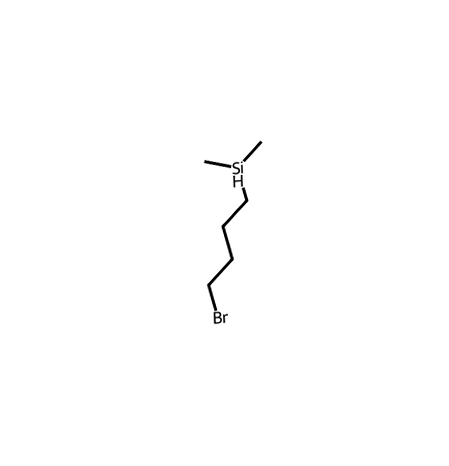 C[SiH](C)CCCCBr